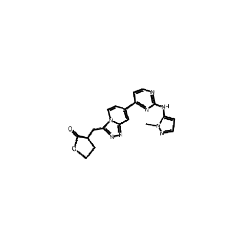 Cn1nccc1Nc1nccc(-c2ccn3c(CC4CCOC4=O)nnc3c2)n1